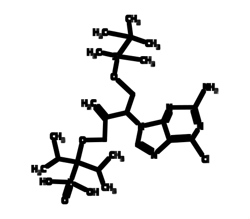 C=C(COC(C(C)C)(C(C)C)P(=O)(O)O)C(CO[Si](C)(C)C(C)(C)C)n1cnc2c(Cl)nc(N)nc21